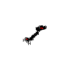 N#Cc1cnn2cc(-c3cnn([C@H]4CC[C@H](N5CCN(c6ccc(N[C@H]7CCC(=O)NC7=O)cc6F)CC5)CC4)c3)nc(-c3ccc(N4CC5COCC(C4)N5Cc4ccccn4)nc3)c12